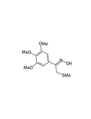 COc1cc(C(CSC)=NO)cc(OC)c1OC